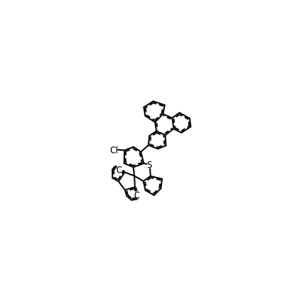 Clc1cc(-c2ccc3c4ccccc4c4ccccc4c3c2)c2c(c1)C1(c3ccccc3S2)c2ccccc2-c2ccccc21